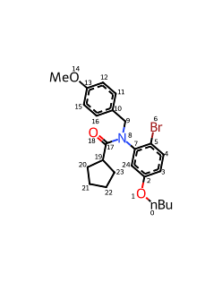 CCCCOc1ccc(Br)c(N(Cc2ccc(OC)cc2)C(=O)C2CCCC2)c1